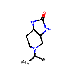 CCCCCC(CC)N1CCC2NC(=O)NC2C1